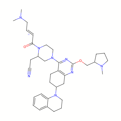 CN(C)C/C=C/C(=O)N1CCN(c2nc(OCC3CCCN3C)nc3c2CCC(N2CCCc4ccccc42)C3)CC1CC#N